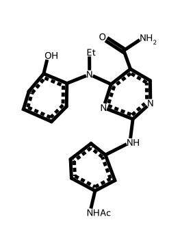 CCN(c1ccccc1O)c1nc(Nc2cccc(NC(C)=O)c2)ncc1C(N)=O